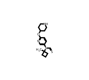 CC1(N(C=S)c2ccc(OC3CCNCC3)nc2)CCC1